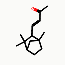 CC(=O)C=CC1C2(C)CCC(C2)C1(C)C